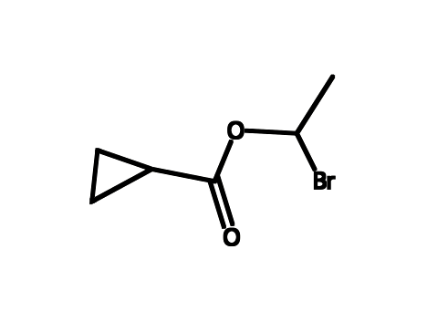 CC(Br)OC(=O)C1CC1